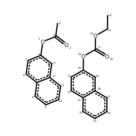 CC(=O)Oc1ccc2ccccc2c1.CCOC(=O)Oc1ccc2ccccc2c1